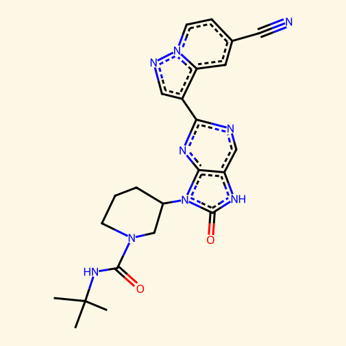 CC(C)(C)NC(=O)N1CCCC(n2c(=O)[nH]c3cnc(-c4cnn5ccc(C#N)cc45)nc32)C1